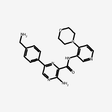 NCc1ccc(-c2cnc(N)c(C(=O)Nc3cnccc3N3CCOCC3)n2)cc1